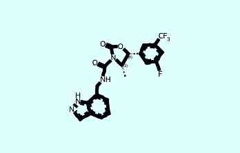 C[C@H]1[C@@H](c2cc(F)cc(C(F)(F)F)c2)OC(=O)N1C(=O)NCc1cccc2cn[nH]c12